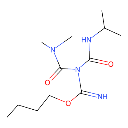 CCCCOC(=N)N(C(=O)NC(C)C)C(=O)N(C)C